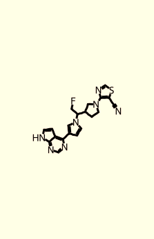 N#Cc1scnc1N1CCC(C(CF)n2ccc(-c3ncnc4[nH]ccc34)c2)C1